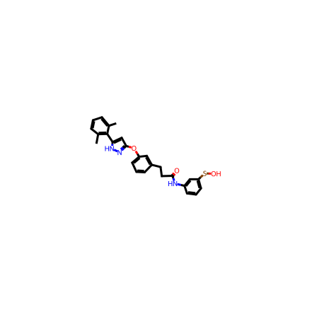 Cc1cccc(C)c1-c1cc(Oc2cccc(CCC(=O)Nc3cccc(SO)c3)c2)n[nH]1